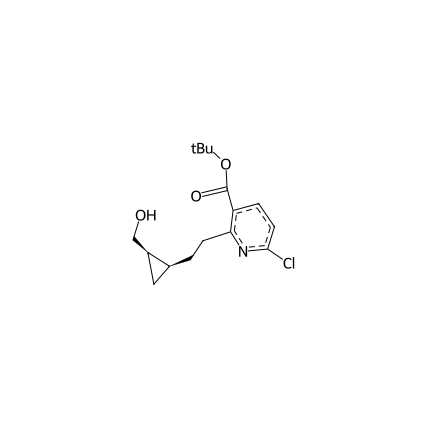 CC(C)(C)OC(=O)c1ccc(Cl)nc1CC[C@H]1C[C@H]1CO